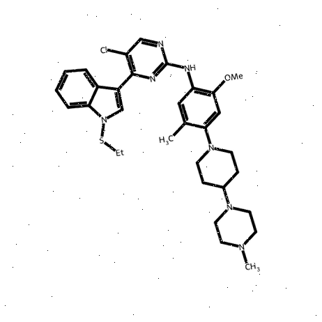 CCSn1cc(-c2nc(Nc3cc(C)c(N4CCC(N5CCN(C)CC5)CC4)cc3OC)ncc2Cl)c2ccccc21